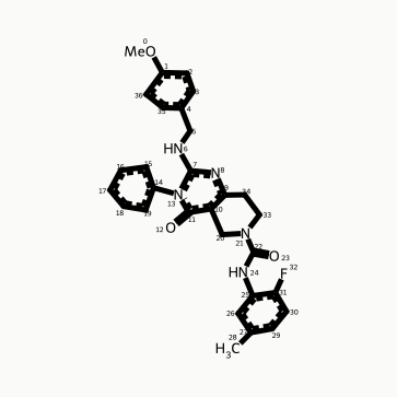 COc1ccc(CNc2nc3c(c(=O)n2-c2ccccc2)CN(C(=O)Nc2cc(C)ccc2F)CC3)cc1